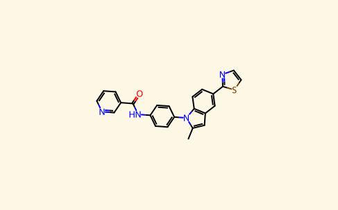 Cc1cc2cc(-c3nccs3)ccc2n1-c1ccc(NC(=O)c2cccnc2)cc1